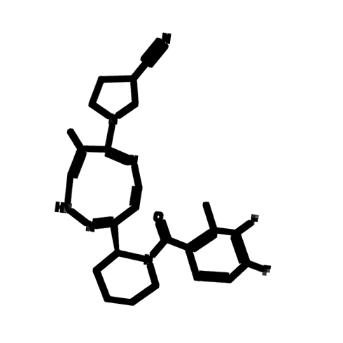 Cc1c[nH]nc([C@@H]2CCCCN2C(=O)c2ccc(F)c(F)c2C)ccnc1N1CCC(C#N)C1